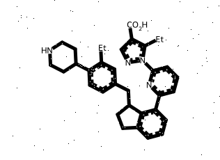 CCc1cc(CC2CCc3cccc(-c4cccc(-n5ncc(C(=O)O)c5CC)n4)c32)ccc1C1CCNCC1